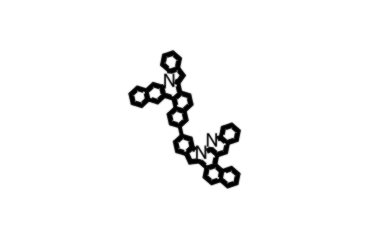 c1ccc2cc3c(cc2c1)c1c2ccc(-c4ccc5cc6c7ccc8ccccc8c7c7cc8ccccc8nc7n6c5c4)cc2ccc1c1cc2ccccc2n31